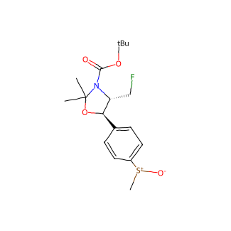 C[S+]([O-])c1ccc([C@H]2OC(C)(C)N(C(=O)OC(C)(C)C)[C@@H]2CF)cc1